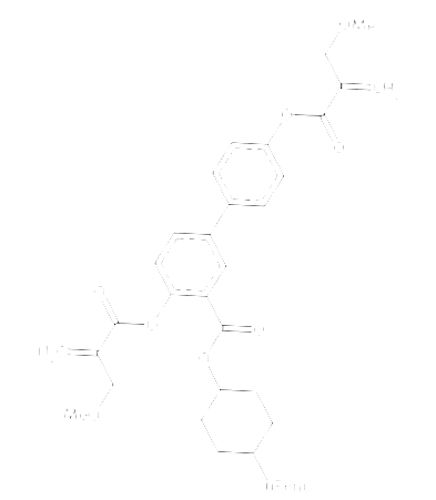 C=C(COC)C(=O)Oc1ccc(-c2ccc(OC(=O)C(=C)COC)c(C(=O)OC3CCC(CCCCC)CC3)c2)cc1